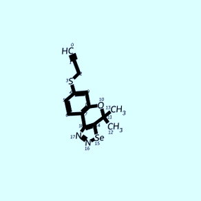 C#CCSc1ccc2c(c1)OC(C)(C)c1[se]nnc1-2